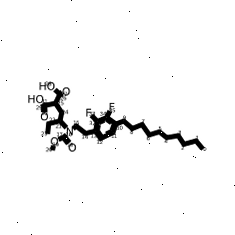 CCCCCCCCCCc1ccc(CCN(C(=O)OC)C(CC)CC(C(=O)O)C(=O)O)c(F)c1F